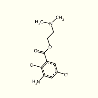 CN(C)CCOC(=O)c1cc(Cl)cc(N)c1Cl